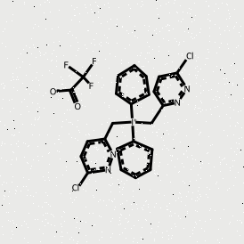 Clc1ccc(C[I+](Cc2ccc(Cl)nn2)(c2ccccc2)c2ccccc2)nn1.O=C([O-])C(F)(F)F